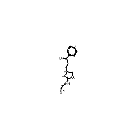 CCC(CC[C@H]1COC(NN=N)=N1)c1ccccc1